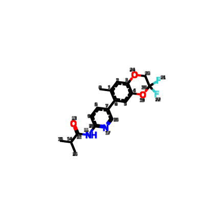 Cc1cc2c(cc1-c1ccc(NC(=O)C(C)C)nc1)OC(F)(F)CO2